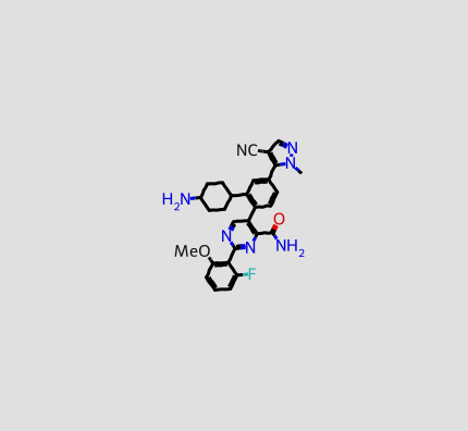 COc1cccc(F)c1-c1ncc(-c2ccc(-c3c(C#N)cnn3C)cc2C2CCC(N)CC2)c(C(N)=O)n1